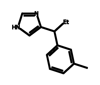 CCC(c1cccc(C)c1)c1c[nH]cn1